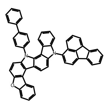 c1ccc(-c2ccc(-n3c4ccc5oc6ccccc6c5c4c4ccc5c(c6ccccc6n5-c5ccc6c7c(cccc57)-c5ccccc5-6)c43)cc2)cc1